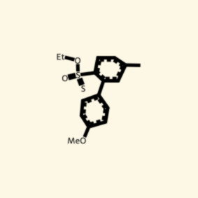 CCOS(=O)(=S)c1ccc(C)cc1-c1ccc(OC)cc1